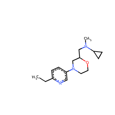 CCc1ccc(N2CCOC(CN(C)C3CC3)C2)cn1